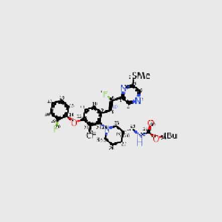 CSc1cncc(/C(F)=C/c2ccc(Oc3ccccc3F)c(C(F)(F)F)c2N2CCC[C@@H](CNC(=O)OC(C)(C)C)C2)n1